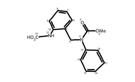 COC(=O)N(Cc1ccccc1NC(=O)O)c1ccccc1